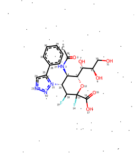 CC(=O)N[C@H]1[C@H]([C@H](O)[C@H](O)CO)OC(F)(C(=O)O)C(F)[C@@H]1n1nncc1-c1ccccc1